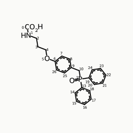 O=C(O)NCCCOc1ccc(CP(=O)(c2ccccc2)c2ccccc2)cc1